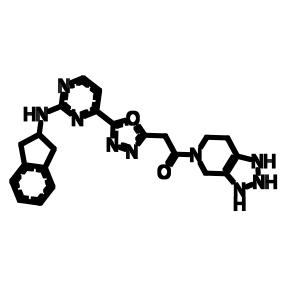 O=C(Cc1nnc(-c2ccnc(NC3Cc4ccccc4C3)n2)o1)N1CCC2=C(C1)NNN2